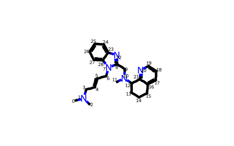 CN(C)CC=CCn1c(CN(C)C2CCCc3cccnc32)nc2ccccc21